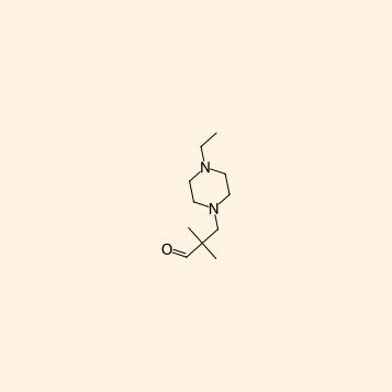 CCN1CCN(CC(C)(C)C=O)CC1